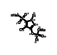 CCCCCCS(=O)(=O)c1c(Cl)c(OP(=O)(CC)OC)nn1CC